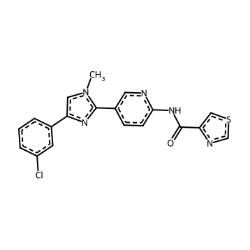 Cn1cc(-c2cccc(Cl)c2)nc1-c1ccc(NC(=O)c2cscn2)nc1